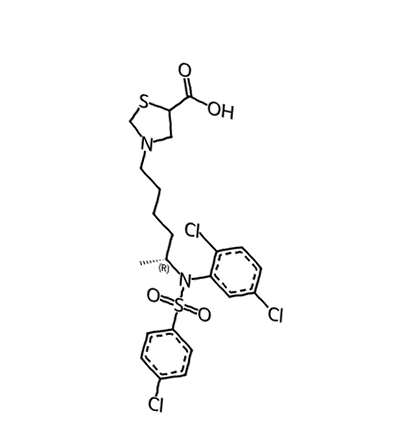 C[C@H](CCCCN1CSC(C(=O)O)C1)N(c1cc(Cl)ccc1Cl)S(=O)(=O)c1ccc(Cl)cc1